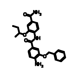 CCC(C)Oc1cc(C(N)=O)ccc1NC(=O)c1ccc(N)c(OCc2ccccc2)c1